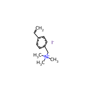 C=Cc1ccc(C[N+](C)(C)C)cc1.[I-]